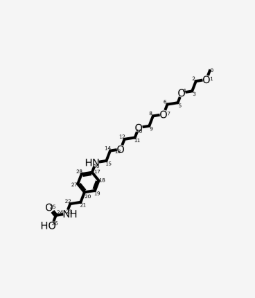 COCCOCCOCCOCCOCCNc1ccc(CCNC(=O)O)cc1